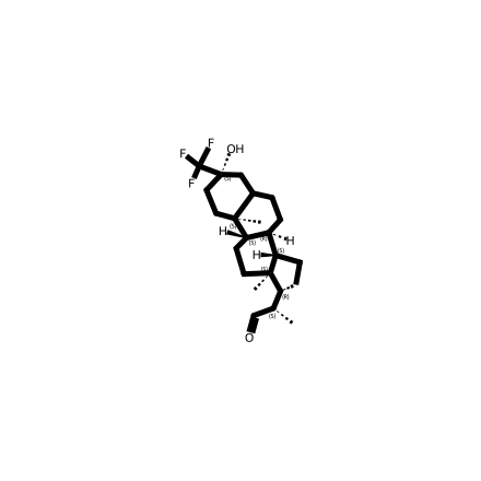 C[C@H](C=O)[C@H]1CC[C@H]2[C@@H]3CCC4C[C@](O)(C(F)(F)F)CC[C@]4(C)[C@H]3CC[C@]12C